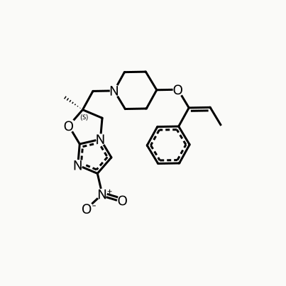 CC=C(OC1CCN(C[C@@]2(C)Cn3cc([N+](=O)[O-])nc3O2)CC1)c1ccccc1